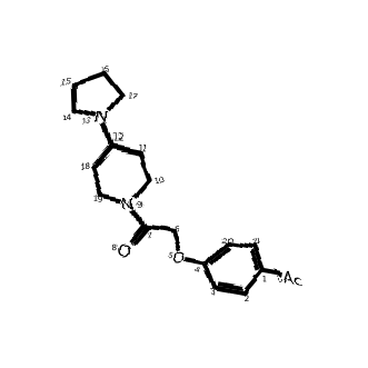 CC(=O)c1ccc(OCC(=O)N2CCC(N3CCCC3)CC2)cc1